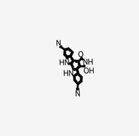 N#Cc1ccc2c(c1)[nH]c1c3[nH]c4cc(C#N)ccc4c3c3c(c21)C(=O)NC3O